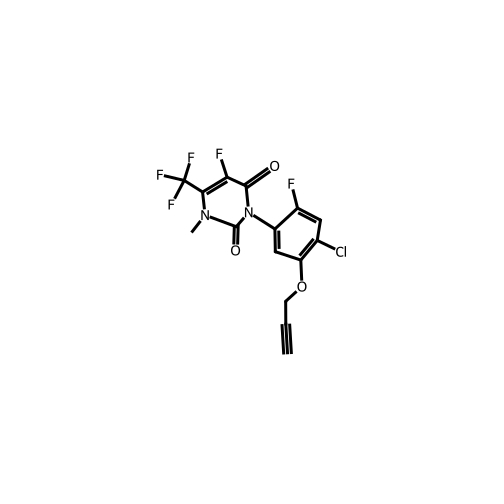 C#CCOc1cc(-n2c(=O)c(F)c(C(F)(F)F)n(C)c2=O)c(F)cc1Cl